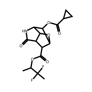 CC(OC(=O)C1C2OC3C(NC(=O)C31)C2OC(=O)C1CC1)C(C)(F)F